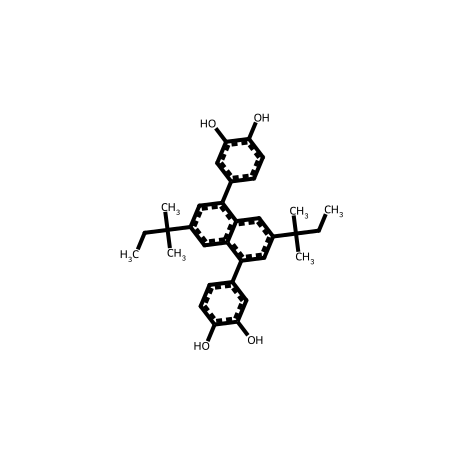 CCC(C)(C)c1cc(-c2ccc(O)c(O)c2)c2cc(C(C)(C)CC)cc(-c3ccc(O)c(O)c3)c2c1